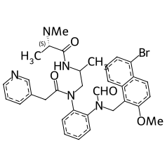 CN[C@@H](C)C(=O)NC(C)CN(C(=O)Cc1cccnc1)c1ccccc1N(C=O)Cc1c(OC)ccc2c(Br)cccc12